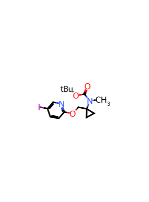 CN(C(=O)OC(C)(C)C)C1(COc2ccc(I)cn2)CC1